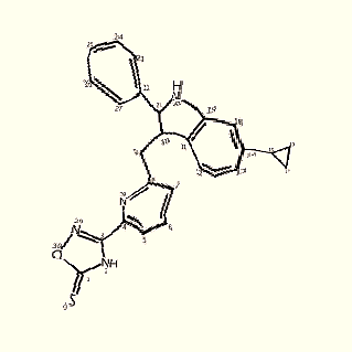 S=c1[nH]c(-c2cccc(CC3c4ccc(C5CC5)cc4NC3c3ccccc3)n2)no1